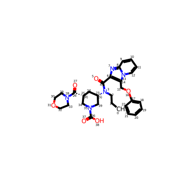 CCCN(C(=O)c1nc2ccccn2c1COc1ccccc1)[C@H]1C[C@@H](C(=O)N2CCOCC2)CN(C(=O)O)C1